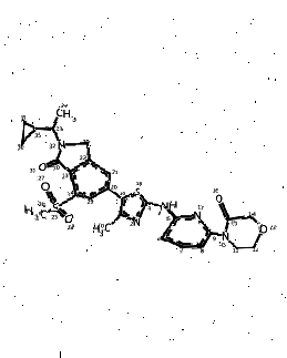 Cc1nc(Nc2cccc(N3CCOCC3=O)n2)sc1-c1cc2c(c(S(C)(=O)=O)c1)C(=O)N(C(C)C1CC1)C2